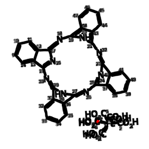 O=[C](O)[Fe]([C](=O)O)([C](=O)O)([C](=O)O)([C](=O)O)([C](=O)O)([C](=O)O)[C](=O)O.c1ccc2c(c1)-c1nc-2nc2[nH]c(nc3nc(nc4[nH]c(n1)c1ccccc41)-c1ccccc1-3)c1ccccc21